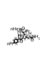 CCCCCCC(=O)N[C@H](C(=O)N[C@@H](CCCNC(N)=O)C(=O)Nc1ccc(CCC)cc1)C(C)C